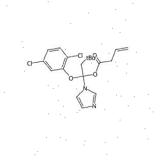 C=CCC(=O)OC(CC(C)(C)C)(Oc1cc(Cl)ccc1Cl)n1ccnc1